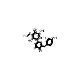 CCCc1ccc(Cc2cc([C@H]3[C@H](O)[C@@H](O)[C@H](O)[C@@H](CO)[C@@H]3O)ccc2Cl)cc1